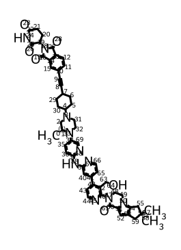 C[C@H]1CN(C2CCC(C#Cc3ccc4c(c3)C(=O)N(C3CCC(=O)NC3=O)C4=O)CC2)CCN1c1ccc(Nc2cc(-c3ccnc(N4CCn5c(cc6c5CC(C)(C)C6)C4=O)c3CO)ccn2)nc1